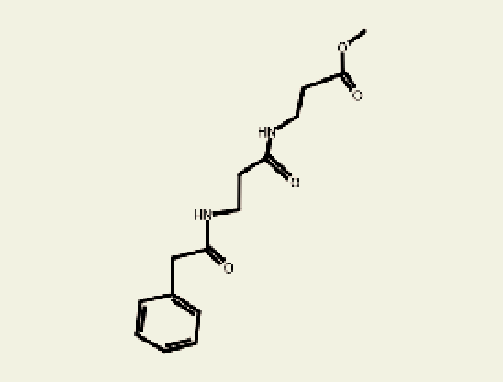 COC(=O)CCNC(=O)CCNC(=O)Cc1ccccc1